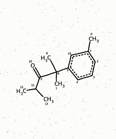 Cc1cccc(C(C)(C)C(=O)C(C)C)c1